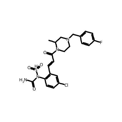 CC1CN(Cc2ccc(F)cc2)CCN1C(=O)/C=C/c1cc(Cl)ccc1N(C(N)=O)[SH](=O)=O